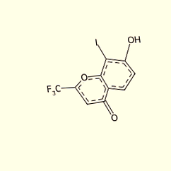 O=c1cc(C(F)(F)F)oc2c(I)c(O)ccc12